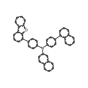 c1ccc2cc(N(c3ccc(-c4cccc5ccccc45)cc3)c3ccc(-c4cccc5c4oc4ccccc45)cc3)ccc2c1